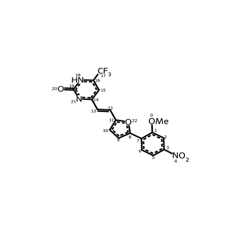 COc1cc([N+](=O)[O-])ccc1-c1ccc(/C=C/c2cc(C(F)(F)F)[nH]c(=O)n2)o1